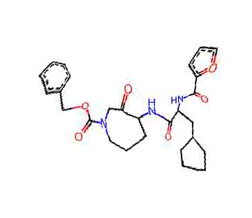 O=C(NC(CC1CCCC1)C(=O)NC1CCCN(C(=O)OCc2ccccc2)CC1=O)c1ccco1